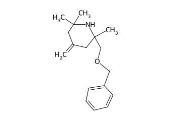 C=C1CC(C)(C)NC(C)(COCc2ccccc2)C1